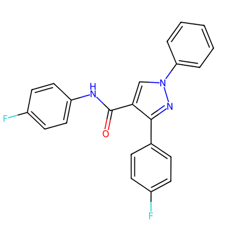 O=C(Nc1ccc(F)cc1)c1cn(-c2ccccc2)nc1-c1ccc(F)cc1